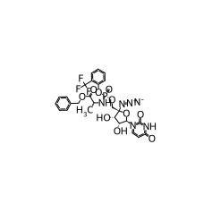 C[C@H](NP(=O)(OC[C@@]1(N=[N+]=[N-])O[C@@H](n2ccc(=O)[nH]c2=O)[C@H](O)[C@@H]1O)Oc1ccccc1C(F)(F)F)C(=O)OCc1ccccc1